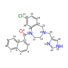 O=C(c1cccc2ccccc12)N1CCN(Cc2c[nH]cn2)Cc2ccc(Cl)cc21